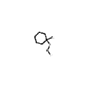 CC[N]OC1(CC)CCCCC1